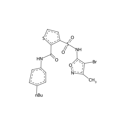 CCCCc1ccc(NC(=O)c2sccc2S(=O)(=O)Nc2onc(C)c2Br)cc1